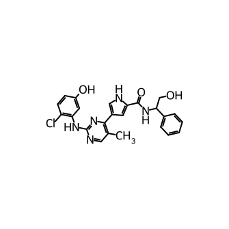 Cc1cnc(Nc2cc(O)ccc2Cl)nc1-c1c[nH]c(C(=O)NC(CO)c2ccccc2)c1